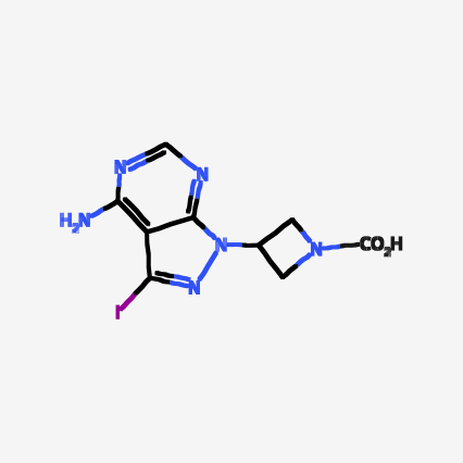 Nc1ncnc2c1c(I)nn2C1CN(C(=O)O)C1